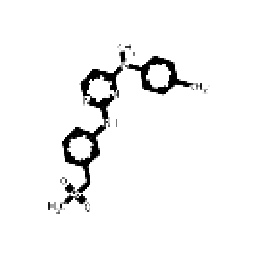 [CH2]c1ccc(N(C)c2ccnc(Nc3cccc(CS(C)(=O)=O)c3)n2)cc1